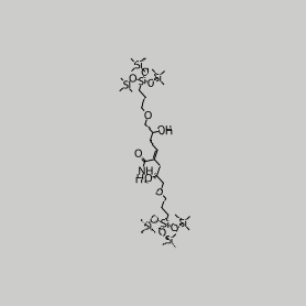 C[Si](C)(C)O[Si](CCCOCC(O)C/C=C(/CC(O)COCCC[Si](O[Si](C)(C)C)(O[Si](C)(C)C)O[Si](C)(C)C)C(N)=O)(O[Si](C)(C)C)O[Si](C)(C)C